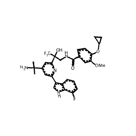 COc1cc(C(=O)NCC(O)(c2cc(C(C)(C)N)cc(-c3c[nH]c4c(F)cccc34)n2)C(F)(F)F)ccc1OC1CC1